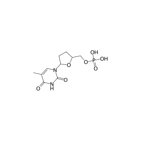 Cc1cn(C2CCC(COP(=O)(O)O)O2)c(=O)[nH]c1=O